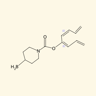 BC1CCN(C(=O)OC(/C=C\C=C)=C/C=C)CC1